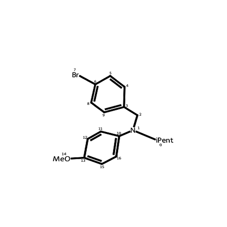 CCCC(C)N(Cc1ccc(Br)cc1)c1ccc(OC)cc1